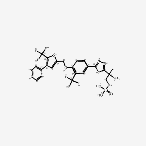 CC(N)(COP(=O)(O)O)c1nnc(-c2ccc(OCc3cc(-c4ccccc4)c(C(F)(F)F)s3)c(C(F)(F)F)c2)s1